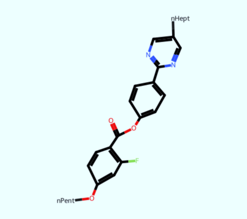 CCCCCCCc1cnc(-c2ccc(OC(=O)c3ccc(OCCCCC)cc3F)cc2)nc1